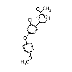 COc1ccc(Oc2ccc(C(CCl)OS(C)(=O)=O)c(Cl)c2)cn1